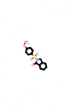 O=C1c2ccccc2CN1S(=O)(=O)c1ccc(OC(F)(F)F)cc1